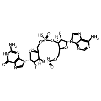 Nc1nc2c(ncn2[C@@H]2O[C@@H]3CO[P@@](=O)(S)O[C@@H]4C(CO[PH](=O)O[C@H]3[C@H]2F)O[C@@H](n2cnc3c(N)ncnc32)[C@@H]4F)c(=O)[nH]1